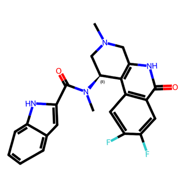 CN1Cc2[nH]c(=O)c3cc(F)c(F)cc3c2[C@@H](N(C)C(=O)c2cc3ccccc3[nH]2)C1